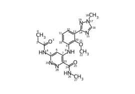 CCC(=O)Nc1cc(Nc2cccc(-c3ncn(C)n3)c2OC)c(C(=O)NC)nn1